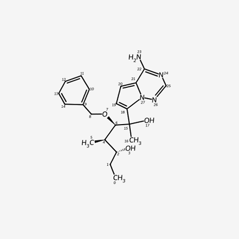 CC[C@@H](O)[C@@H](C)[C@@H](OCc1ccccc1)C(C)(O)c1ccc2c(N)ncnn12